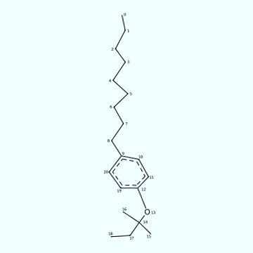 CCCCCCCCCc1ccc(OC(C)(C)CC)cc1